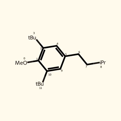 COc1c(C(C)(C)C)cc(CCC(C)C)cc1C(C)(C)C